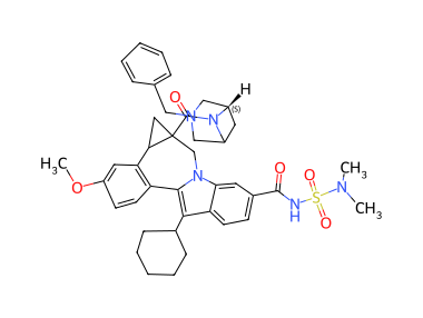 COc1ccc2c(c1)C1CC1(C(=O)N1C3C[C@H]1CN(Cc1ccccc1)C3)Cn1c-2c(C2CCCCC2)c2ccc(C(=O)NS(=O)(=O)N(C)C)cc21